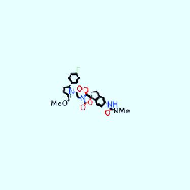 CNC(=O)Nc1ccc2c(c1)CC[C@@]21OC(=O)N(CC(=O)N2[C@@H](COC)CC[C@H]2c2ccc(F)cc2)C1=O